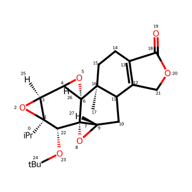 CC(C)[C@]12O[C@H]1[C@@H]1O[C@]13[C@]1(O[C@H]1CC1C4=C(CC[C@@]13C)C(=O)OC4)[C@@H]2OC(C)(C)C